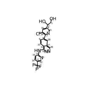 OCC(O)c1cnc(-c2ccc3c(Nc4ccc(C(F)(F)F)cn4)nncc3c2)c(Cl)c1